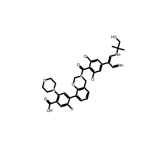 CC(C)(CO)N/C=C(\C=N)c1cc(Cl)c(C(=O)N2COc3c(cccc3-c3cc(N4CCOCC4)c(C(=O)O)cc3F)C2)c(Cl)c1